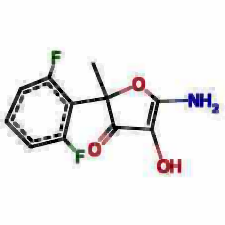 CC1(c2c(F)cccc2F)OC(N)=C(O)C1=O